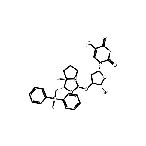 Cc1cn([C@H]2CC(OP3O[C@H](C[Si](C)(c4ccccc4)c4ccccc4)[C@@H]4CCCN43)[C@@H](C(C)C)O2)c(=O)[nH]c1=O